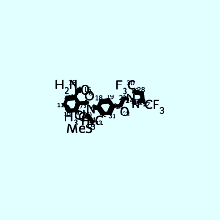 CSC[C@H](C)N(C(=O)c1c(Cl)cccc1C(N)=O)c1ccc(C(=O)Cn2nc(C(F)(F)F)cc2C(F)(F)F)cc1C